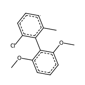 COc1cccc(OC)c1-c1c(C)[c]ccc1Cl